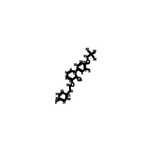 Cc1cc(-n2ccnc(OCCc3ccc(F)cc3)c2=O)ccc1OCC(C)(C)C